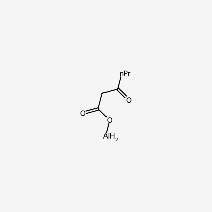 CCCC(=O)CC(=O)[O][AlH2]